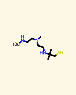 CN(CCNC(C)(C)C)CCNC(C)(C)CS